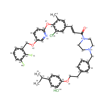 Cc1cc(C=CC(=O)N2CCN(Cc3ccc(CCOc4ccc(C(C)C)cc4)cc3)CC2)cc(Cl)c1Oc1ccc(OCc2cccc(F)c2F)cn1.Cl